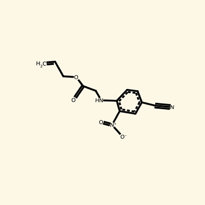 C=CCOC(=O)CNc1ccc(C#N)cc1[N+](=O)[O-]